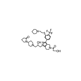 O=C(CO)N1CCc2c(c(-c3ccc(C(F)(F)F)c(SCCN4CCCCC4)c3)nn2CC(O)CN2CCC(N3CCCC3=O)CC2)C1